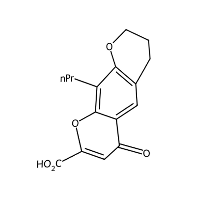 CCCc1c2c(cc3c(=O)cc(C(=O)O)oc13)CCCO2